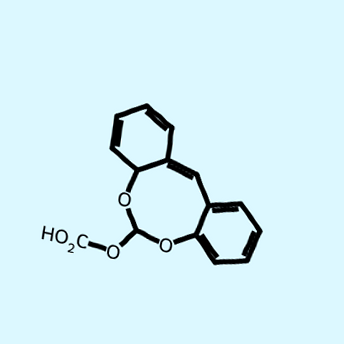 O=C(O)OC1Oc2ccccc2/C=C2/C=CC=CC2O1